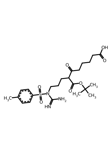 Cc1ccc(S(=O)(=O)N(CCCC(C(=O)CCCCC(=O)O)C(=O)OC(C)(C)C)C(=N)N)cc1